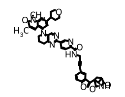 Cc1cc2c(N3CCCc4nc(-c5ccc(C(=O)NCC#Cc6ccc7occ(C89CC(C8)C(=O)NC9=O)c7c6)nc5)ncc43)cc(C3CCOCC3)cc2n(C)c1=O